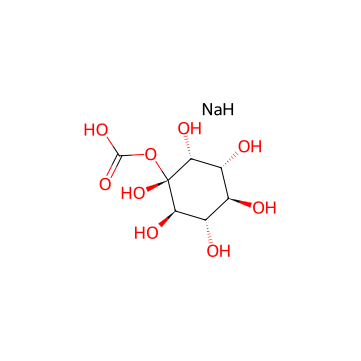 O=C(O)O[C@]1(O)[C@H](O)[C@H](O)[C@@H](O)[C@H](O)[C@H]1O.[NaH]